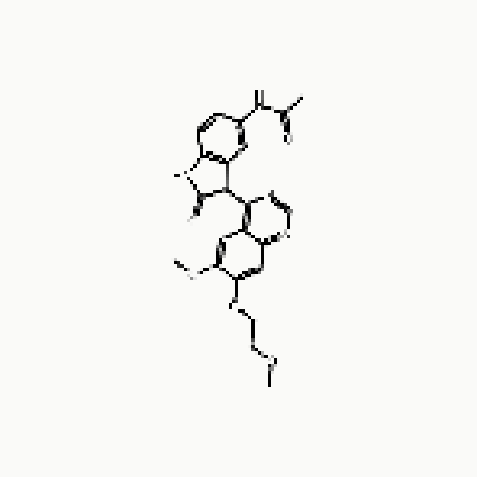 COCCOc1cc2ncnc(C3C(=O)Nc4ccc(NC(C)=O)cc43)c2cc1OC